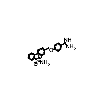 N=C(N)c1ccc(OCc2ccc(-c3ccccc3S(N)(=O)=O)cc2)cc1